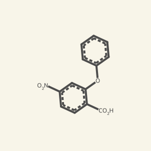 O=C(O)c1ccc([N+](=O)[O-])cc1Oc1ccccc1